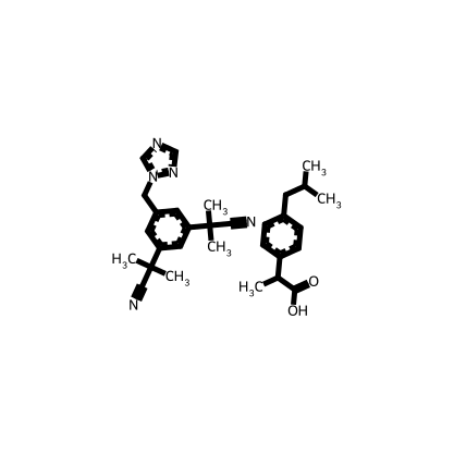 CC(C)(C#N)c1cc(Cn2cncn2)cc(C(C)(C)C#N)c1.CC(C)Cc1ccc(C(C)C(=O)O)cc1